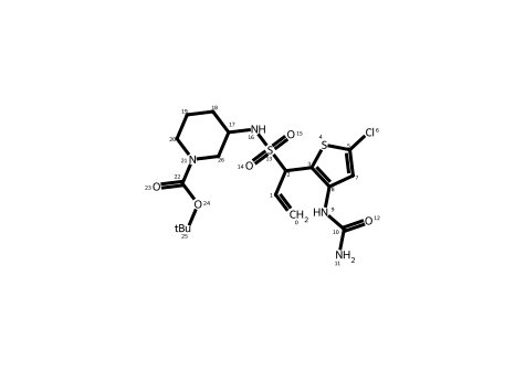 C=CC(c1sc(Cl)cc1NC(N)=O)S(=O)(=O)NC1CCCN(C(=O)OC(C)(C)C)C1